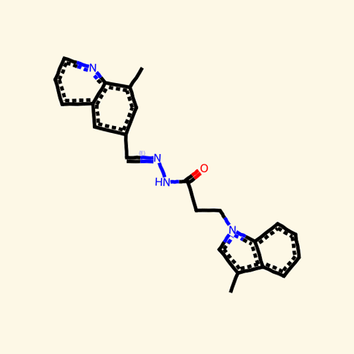 Cc1cn(CCC(=O)N/N=C/c2cc(C)c3ncccc3c2)c2ccccc12